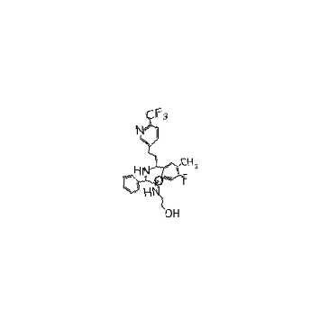 Cc1cc([C@H](CCc2ccc(C(F)(F)F)nc2)N[C@@H](C(=O)NCCO)c2ccccc2)ccc1F